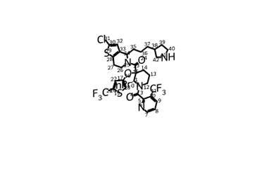 CCC[C@H]1N(C(=O)c2ncccc2C(F)(F)F)CCC[C@@]1(Oc1csc(C(F)(F)F)c1)C(=O)N1CCc2sc(Cl)cc2C1CCCC1CCNC1